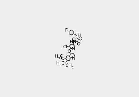 C=C(C)c1cc2nccc(Oc3ncc(NC(=O)C4(C(=O)Nc5ccc(F)cc5)CCC4)cc3Cl)c2cc1OC